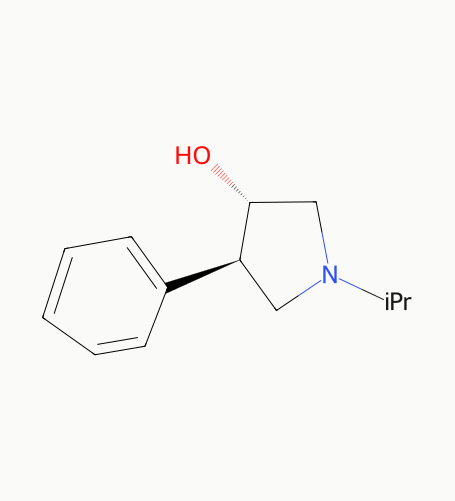 CC(C)N1C[C@@H](O)[C@H](c2ccccc2)C1